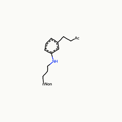 CCCCCCCCCCCCNc1cccc(CCC(C)=O)c1